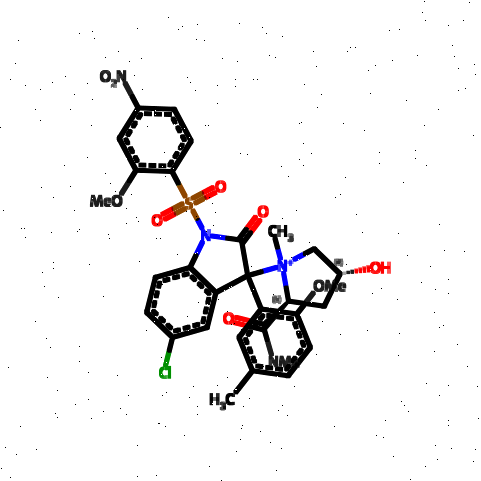 CNC(=O)[C@@H]1C[C@@H](O)C[N+]1(C)C1(c2cc(C)ccc2OC)C(=O)N(S(=O)(=O)c2ccc([N+](=O)[O-])cc2OC)c2ccc(Cl)cc21